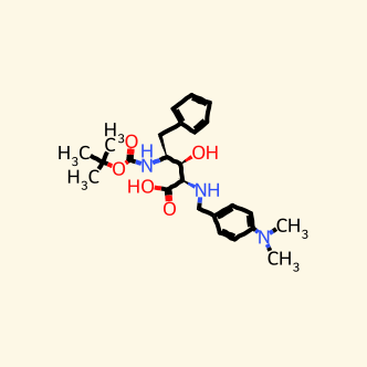 CN(C)c1ccc(CN[C@@H](C(=O)O)[C@H](O)[C@H](Cc2ccccc2)NC(=O)OC(C)(C)C)cc1